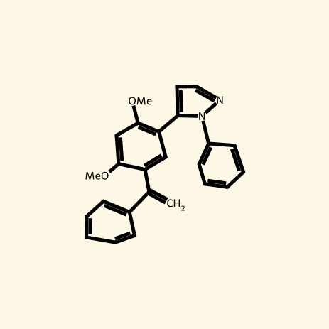 C=C(c1ccccc1)c1cc(-c2ccnn2-c2ccccc2)c(OC)cc1OC